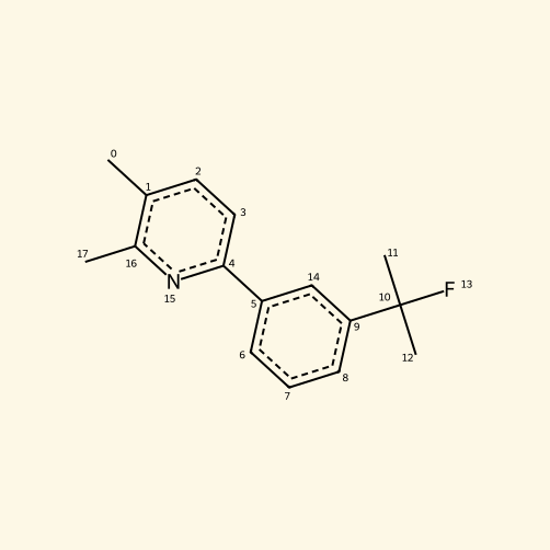 Cc1ccc(-c2cccc(C(C)(C)F)c2)nc1C